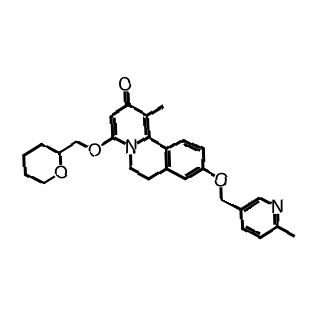 Cc1ccc(COc2ccc3c(c2)CCn2c(OCC4CCCCO4)cc(=O)c(C)c2-3)cn1